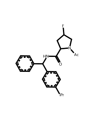 CC(=O)N1CC(F)CC1C(=O)NC(c1ccccc1)c1ccc(C(C)C)cc1